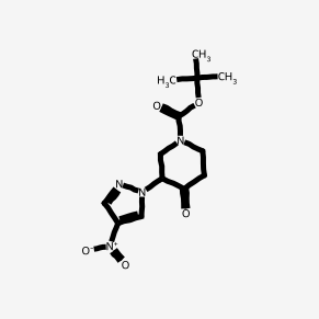 CC(C)(C)OC(=O)N1CCC(=O)C(n2cc([N+](=O)[O-])cn2)C1